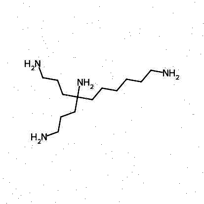 NCCCCCCC(N)(CCCN)CCCN